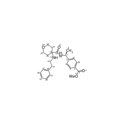 COC(=O)c1ccc([C@H](C)NC(=O)C2(NCCc3ccccc3)CCOCC2)cc1